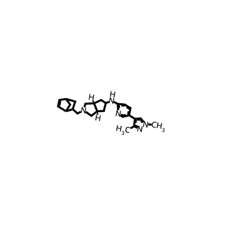 Cc1nn(C)cc1-c1ccc(NC2C[C@@H]3CN(CC4CC5C=CC4C5)C[C@@H]3C2)nc1